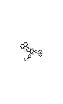 CCc1cccc2cccc(N3CCc4c(nc(OCC56CCCN5CCC6)nc4N4CC(C#N)C4)C3)c12